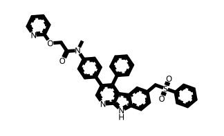 CN(C(=O)COc1ccccn1)c1ccc(-c2cnc3[nH]c4ccc(CS(=O)(=O)c5ccccc5)cc4c3c2-c2ccccc2)cc1